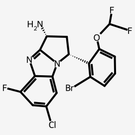 N[C@@H]1C[C@H](c2c(Br)cccc2OC(F)F)n2c1nc1c(F)cc(Cl)cc12